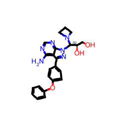 Nc1ncnc2c1c(-c1ccc(Oc3ccccc3)cc1)nn2C([C@H](O)CO)N1CCC1